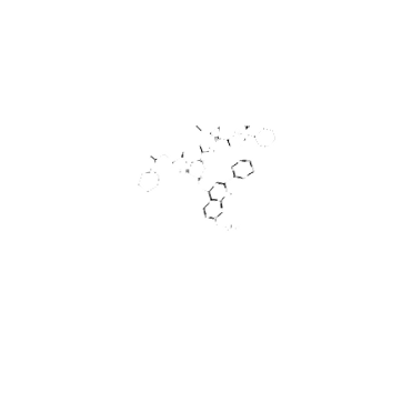 C=C[C@@H]1C[C@]1(NC(=O)[C@@H]1C[C@@H](Oc2cc(-c3ccccc3)nc3cc(OC)ccc23)CN1C(=O)C(CC(=O)N1CCCCC1)C(C)(C)C)C(=O)NS(=O)(=O)C1CCCCC1